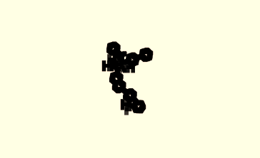 CC(NC(NC(=N)c1ccc2ccc(-c3ccc4c(c3)C(F)(F)c3ccccc3-4)cc2c1)c1ccc(-c2ccccc2)cc1)c1ccccc1